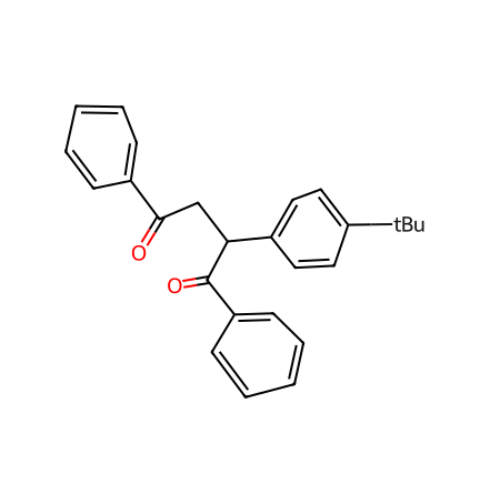 CC(C)(C)c1ccc(C(CC(=O)c2ccccc2)C(=O)c2ccccc2)cc1